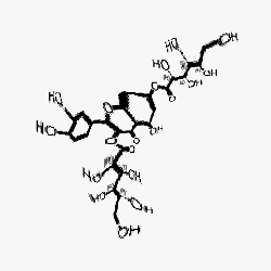 O=C(Oc1cc(O)c2c(=O)c(OC(=O)[C@H](O)[C@@H](O)[C@H](O)[C@H](O)CO)c(-c3ccc(O)c(O)c3)oc2c1)[C@H](O)[C@@H](O)[C@H](O)[C@H](O)CO